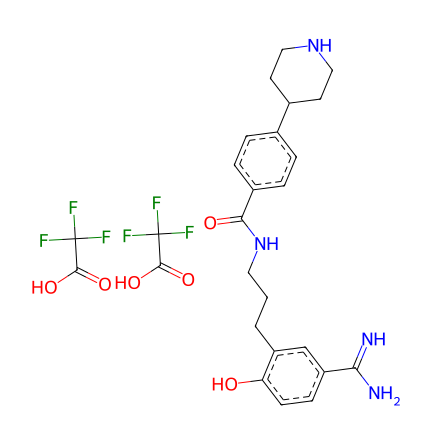 N=C(N)c1ccc(O)c(CCCNC(=O)c2ccc(C3CCNCC3)cc2)c1.O=C(O)C(F)(F)F.O=C(O)C(F)(F)F